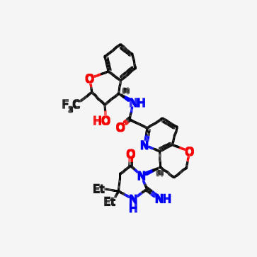 CCC1(CC)CC(=O)N([C@@H]2CCOc3ccc(C(=O)N[C@@H]4c5ccccc5OC(C(F)(F)F)C4O)nc32)C(=N)N1